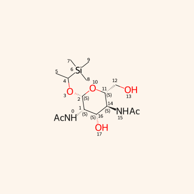 CC(=O)N[C@@H]1[C@H](OC(C)[Si](C)(C)C)O[C@H](CO)[C@@H](NC(C)=O)[C@@H]1O